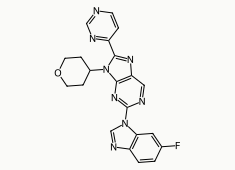 Fc1ccc2ncn(-c3ncc4nc(-c5ccncn5)n(C5CCOCC5)c4n3)c2c1